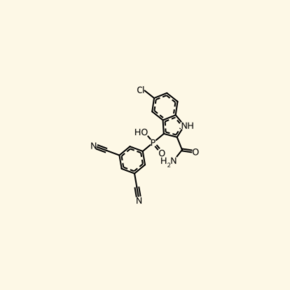 N#Cc1cc(C#N)cc(P(=O)(O)c2c(C(N)=O)[nH]c3ccc(Cl)cc23)c1